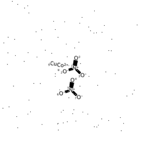 O=[N+]([O-])[O-].O=[N+]([O-])[O-].[Co+2].[Cu]